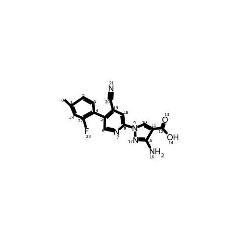 Cc1ccc(-c2cnc(-n3cc(C(=O)O)c(N)n3)cc2C#N)c(F)c1